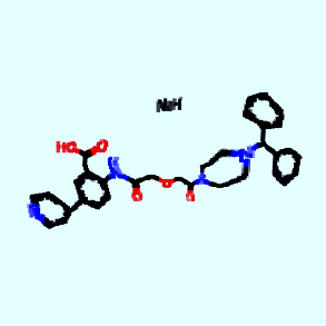 O=C(COCC(=O)N1CCN(C(c2ccccc2)c2ccccc2)CC1)Nc1ccc(-c2ccncc2)cc1C(=O)O.[NaH]